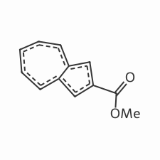 COC(=O)c1cc2cccccc-2c1